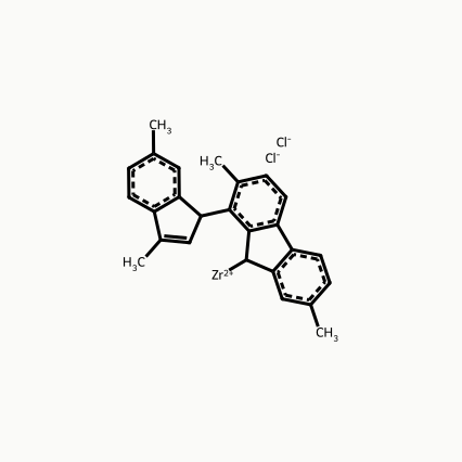 CC1=CC(c2c(C)ccc3c2[CH]([Zr+2])c2cc(C)ccc2-3)c2cc(C)ccc21.[Cl-].[Cl-]